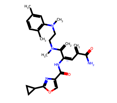 C=C(/C=C(/NC(=O)c1coc(C2CC2)n1)C(=C)N(C)CCN(C)c1cc(C)ccc1C)C(N)=O